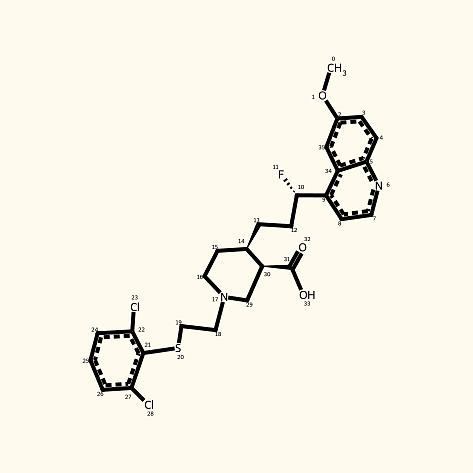 COc1ccc2nccc([C@@H](F)CC[C@@H]3CCN(CCSc4c(Cl)cccc4Cl)C[C@@H]3C(=O)O)c2c1